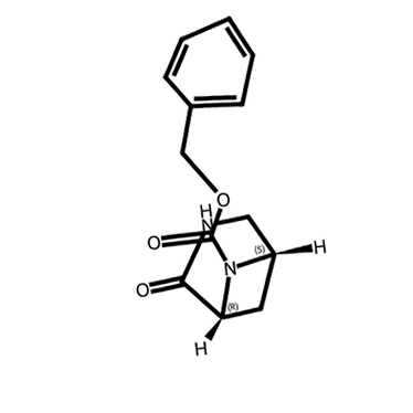 O=C1NC[C@@H]2C[C@H]1N2C(=O)OCc1ccccc1